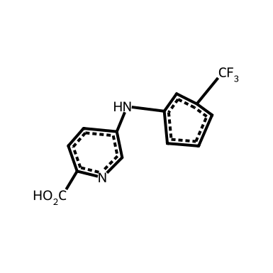 O=C(O)c1ccc(Nc2cccc(C(F)(F)F)c2)cn1